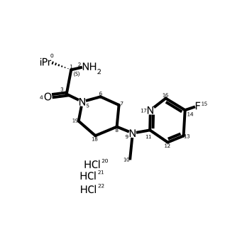 CC(C)[C@H](N)C(=O)N1CCC(N(C)c2ccc(F)cn2)CC1.Cl.Cl.Cl